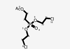 CC(=O)OCCP(=O)(OCCCl)OCCCl